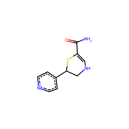 NC(=O)C1=CNCC(c2ccncc2)S1